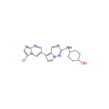 OC1CCC(Nc2ncc3c(-c4cnc5ncc(Cl)n5c4)ccn3n2)CC1